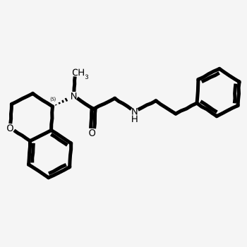 CN(C(=O)CNCCc1ccccc1)[C@H]1CCOc2ccccc21